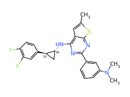 Cc1cc2c(N[C@@H]3C[C@H]3c3ccc(F)c(F)c3)nc(-c3cccc(N(C)C)c3)nc2s1